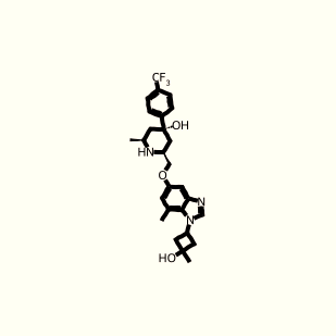 Cc1cc(OC[C@@H]2C[C@](O)(c3ccc(C(F)(F)F)cc3)C[C@H](C)N2)cc2ncn(C3CC(C)(O)C3)c12